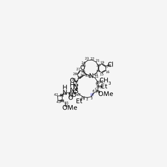 CC[C@H]1C/C=C/[C@H](OC)[C@H](CC)[C@@H](C)CN2Cc3ccc(Cl)cc3CCCCOc3ccc(cc32)C(=O)N=S(=O)(NC(=O)N[C@@H]2CC[C@H]2COC)C1